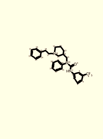 O=C(Nc1cccc(C(F)(F)F)c1)N(CC1CCCN(CCc2ccccc2)C1)c1ccccc1